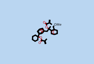 C=C(C)C(=O)OC1(c2cc3cc(CC(C)(OC(=O)C(=C)C)C4CC5CCC4(COC)O5)c2o3)CCCCC1